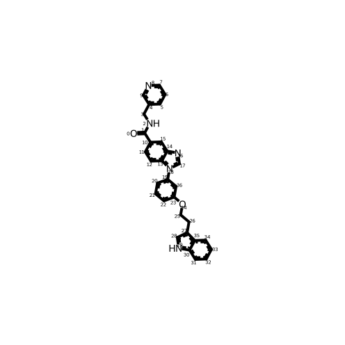 O=C(NCc1cccnc1)c1ccc2c(c1)ncn2-c1cccc(OCCc2c[nH]c3ccccc23)c1